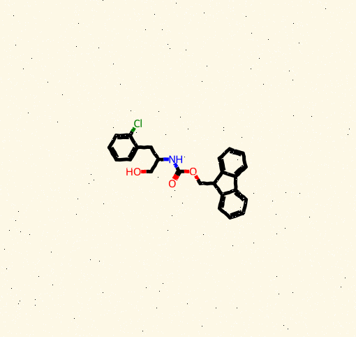 O=C(NC(CO)Cc1ccccc1Cl)OCC1c2ccccc2-c2ccccc21